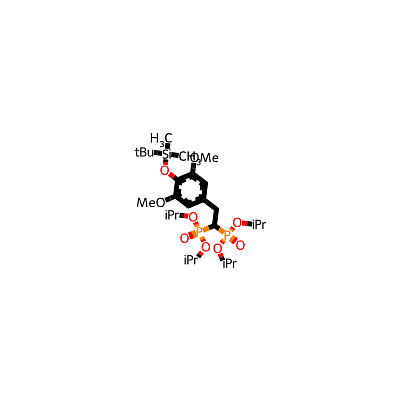 COc1cc(CC(P(=O)(OC(C)C)OC(C)C)P(=O)(OC(C)C)OC(C)C)cc(OC)c1O[Si](C)(C)C(C)(C)C